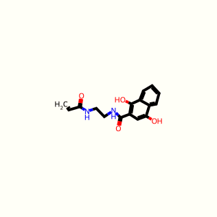 C=CC(=O)NCCNC(=O)c1cc(O)c2ccccc2c1O